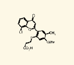 COc1cc(OCCC(=O)O)c(-c2cc(=O)c3cccc(Cl)c3o2)cc1C